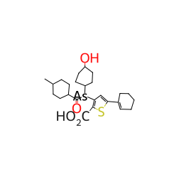 CC1CCC(C(=O)[As](c2cc(C3=CCCCC3)sc2C(=O)O)C2CCC(O)CC2)CC1